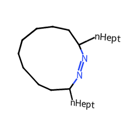 CCCCCCCC1CCCCCCCCC(CCCCCCC)N=N1